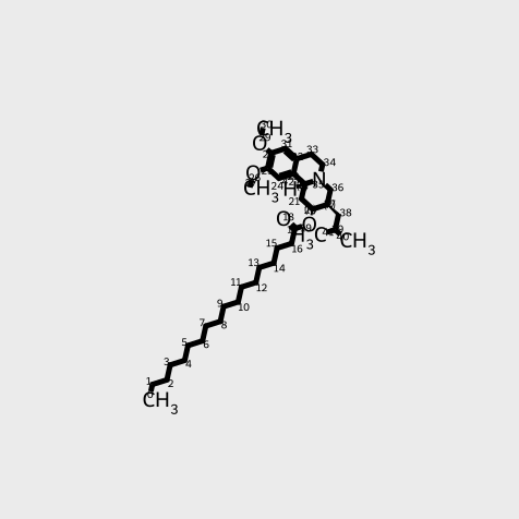 CCCCCCCCCCCCCCCCCC(=O)O[C@@H]1C[C@@H]2c3cc(OC)c(OC)cc3CCN2C[C@H]1CC(C)C